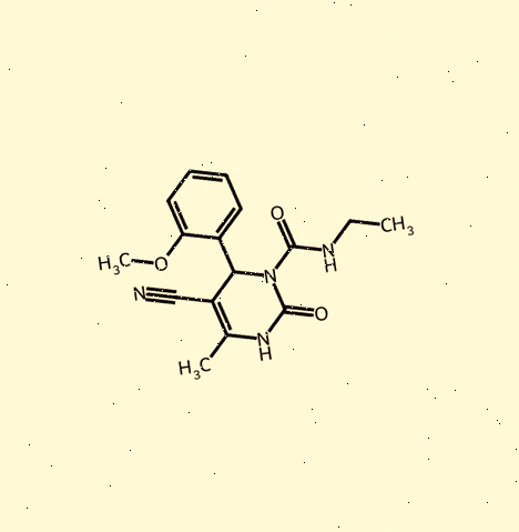 CCNC(=O)N1C(=O)NC(C)=C(C#N)C1c1ccccc1OC